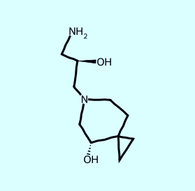 NC[C@@H](O)CN1CCC2(CC2)[C@H](O)C1